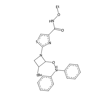 CCONC(=O)c1csc(N2CC(C(C)(C)C)C2O[SiH](c2ccccc2)c2ccccc2)n1